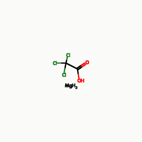 O=C(O)C(Cl)(Cl)Cl.[MgH2]